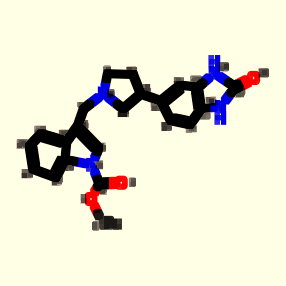 CC(C)(C)OC(=O)n1cc(CN2CCC(c3ccc4[nH]c(=O)[nH]c4c3)C2)c2ccccc21